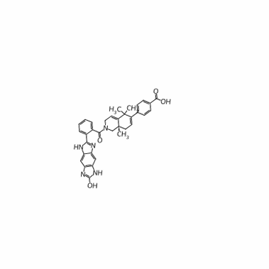 CC1(C)C(c2ccc(C(=O)O)cc2)=CC[C@]2(C)CN(C(=O)c3ccccc3-c3nc4cc5[nH]c(O)nc5cc4[nH]3)CC=C12